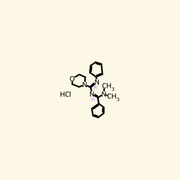 CN(C)/C(=N\C(=N\c1ccccc1)N1CCOCC1)c1ccccc1.Cl